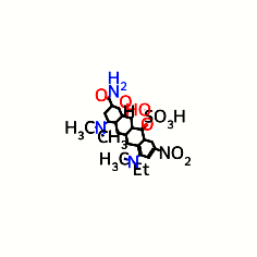 CCN(C)C1=C2CC3CC4[C@@H](CC3C(=O)C2CC([N+](=O)[O-])=C1)C(=O)C(C(N)=O)C[C@@H]4N(C)C.O=S(=O)(O)O